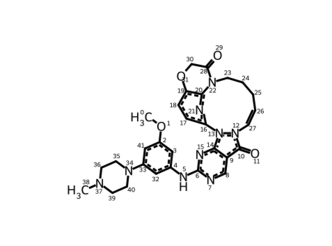 COc1cc(Nc2ncc3c(=O)n4n(c3n2)-c2ccc3c(n2)N(CCC/C=C\4)C(=O)CO3)cc(N2CCN(C)CC2)c1